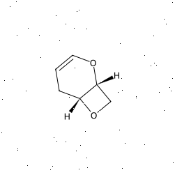 C1=CO[C@@H]2CO[C@@H]2C1